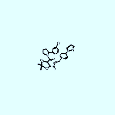 CC1(C)O[C@@H](C(=O)NCc2ccc(-n3cccn3)cc2)[C@H](C(=O)N2CCCC2c2cccc(Cl)c2)O1